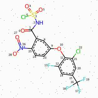 O=C(NS(=O)(=O)Cl)c1cc(Oc2c(F)cc(C(F)(F)F)cc2Cl)ccc1[N+](=O)[O-]